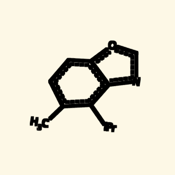 Cc1ccc2ocnc2c1C(C)C